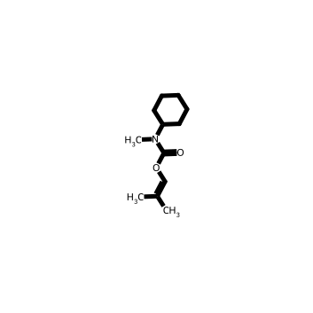 CC(C)=COC(=O)N(C)C1CCCCC1